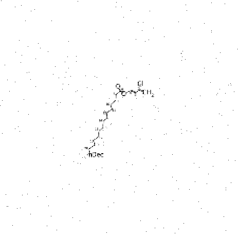 C=C(Cl)C=COC(=O)CCCCCCCCCCCCCCCCCCCCCCC